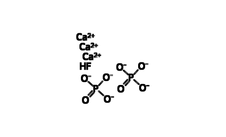 F.O=P([O-])([O-])[O-].O=P([O-])([O-])[O-].[Ca+2].[Ca+2].[Ca+2]